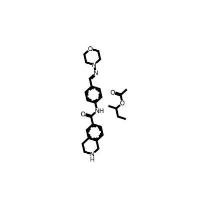 CCC(C)OC(C)=O.O=C(Nc1ccc(C=NN2CCOCC2)cc1)c1ccc2c(c1)CCNC2